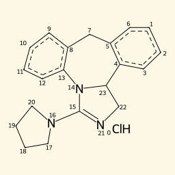 Cl.c1ccc2c(c1)Cc1ccccc1N1C(N3CCCC3)=NCC21